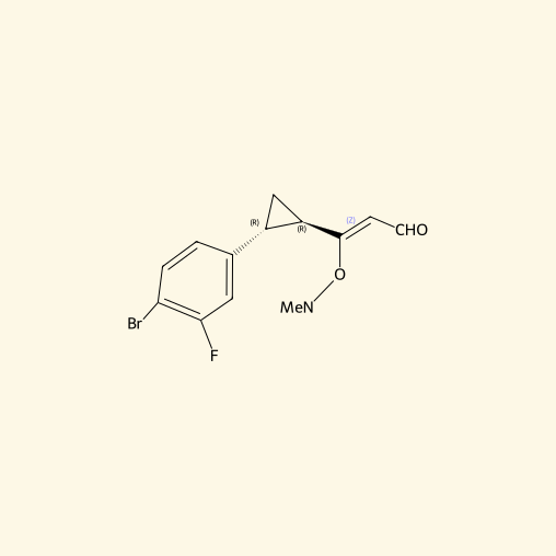 CNO/C(=C\C=O)[C@@H]1C[C@H]1c1ccc(Br)c(F)c1